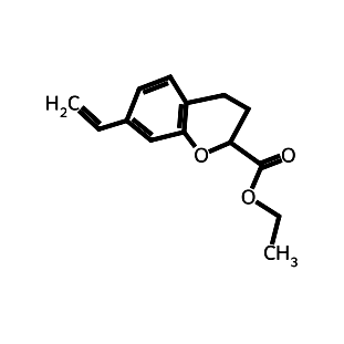 C=Cc1ccc2c(c1)OC(C(=O)OCC)CC2